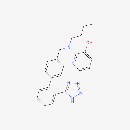 CCCCN(Cc1ccc(-c2ccccc2-c2nnn[nH]2)cc1)c1ncccc1O